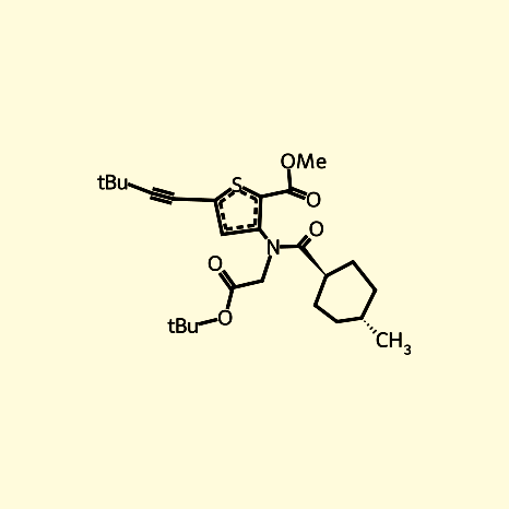 COC(=O)c1sc(C#CC(C)(C)C)cc1N(CC(=O)OC(C)(C)C)C(=O)[C@H]1CC[C@H](C)CC1